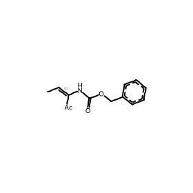 C/C=C(/NC(=O)OCc1ccccc1)C(C)=O